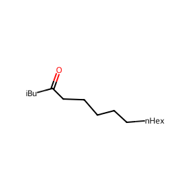 CCCCCCCCCCCC(=O)C(C)CC